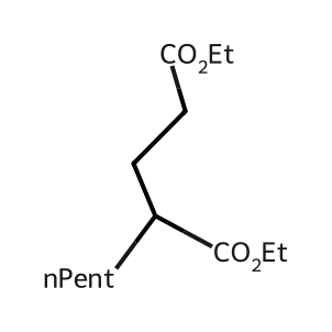 CCCCCC(CCC(=O)OCC)C(=O)OCC